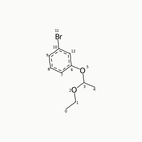 CCOC(C)Oc1cccc(Br)c1